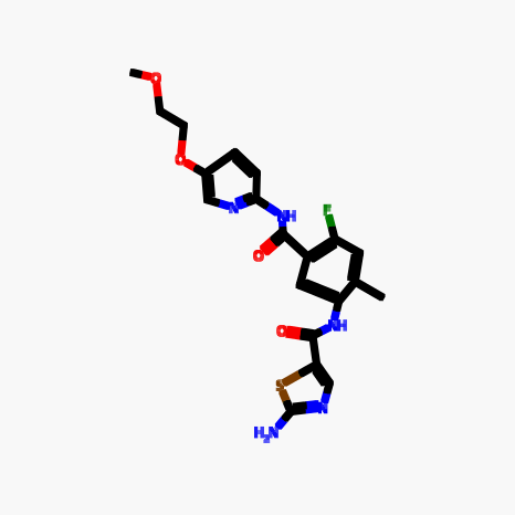 COCCOc1ccc(NC(=O)c2cc(NC(=O)c3cnc(N)s3)c(C)cc2F)nc1